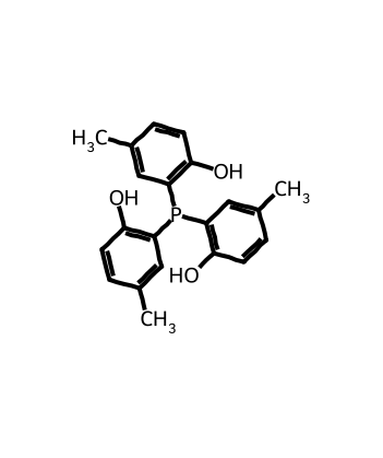 Cc1ccc(O)c(P(c2cc(C)ccc2O)c2cc(C)ccc2O)c1